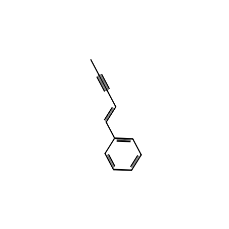 [CH2]C#CC=Cc1ccccc1